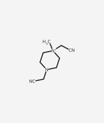 C[N+]1(CC#N)CCN(CC#N)CC1